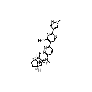 CN(c1ccc(-c2cnc(-c3cnn(C)c3)nc2O)nn1)[C@H]1C[C@@H]2CC[C@H]([C@H]1F)N2C(=O)O